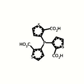 O=C(O)c1sccc1P(c1ccsc1C(=O)O)c1ccsc1C(=O)O